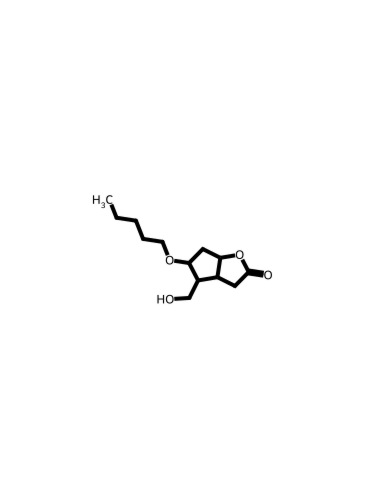 CCCCCOC1CC2OC(=O)CC2C1CO